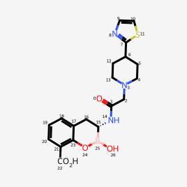 O=C(CN1CCC(c2nccs2)CC1)N[C@H]1Cc2cccc(C(=O)O)c2OB1O